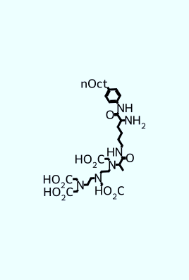 CCCCCCCCc1ccc(NC(=O)C(N)CCCCNC(=O)C(C)N(CCN(CCN(CC(=O)O)CC(=O)O)CC(=O)O)CC(=O)O)cc1